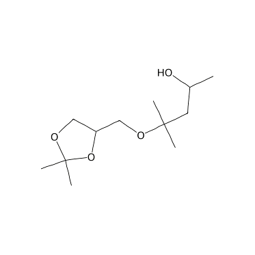 CC(O)CC(C)(C)OCC1COC(C)(C)O1